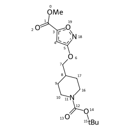 COC(=O)c1cc(OCC2CCN(C(=O)OC(C)(C)C)CC2)no1